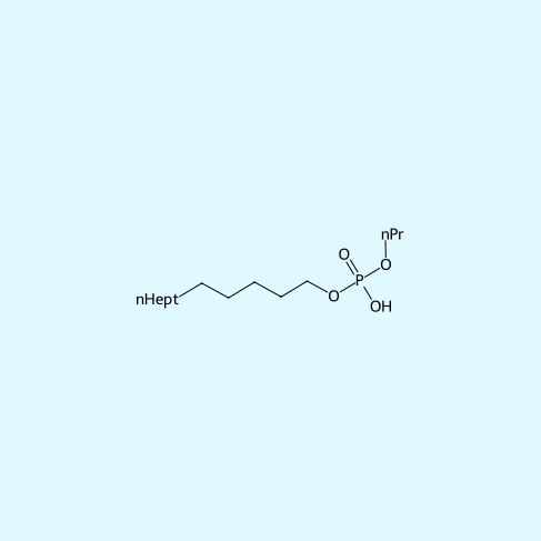 CCCCCCCCCCCCOP(=O)(O)OCCC